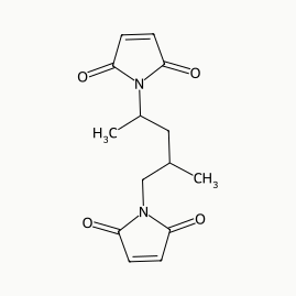 CC(CC(C)N1C(=O)C=CC1=O)CN1C(=O)C=CC1=O